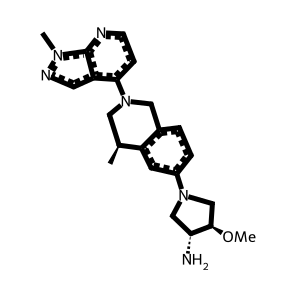 CO[C@@H]1CN(c2ccc3c(c2)[C@@H](C)CN(c2ccnc4c2cnn4C)C3)C[C@H]1N